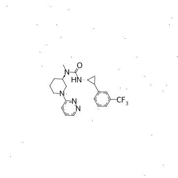 CN(C(=O)N[C@@H]1CC1c1cccc(C(F)(F)F)c1)[C@@H]1CCCN(c2cccnn2)C1